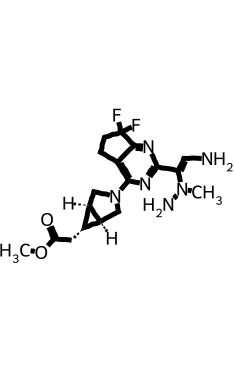 COC(=O)C[C@@H]1[C@H]2CN(c3nc(/C(=C/N)N(C)N)nc4c3CCC4(F)F)C[C@@H]12